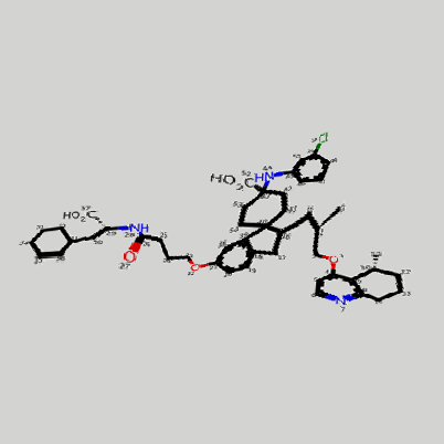 C[C@@H](COc1ccnc2c1[C@H](C)CCC2)CC1Cc2ccc(OCCCC(=O)N[C@H](CC3CCCCC3)C(=O)O)cc2C12CCC(Nc1cccc(Cl)c1)(C(=O)O)CC2